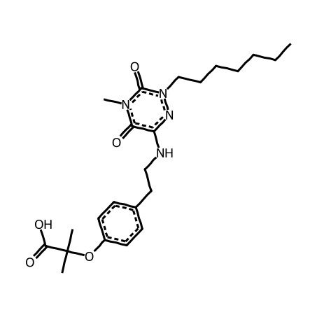 CCCCCCCn1nc(NCCc2ccc(OC(C)(C)C(=O)O)cc2)c(=O)n(C)c1=O